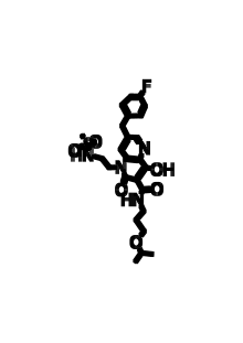 CC(C)OCCCNC(=O)c1c(O)c2ncc(Cc3ccc(F)cc3)cc2n(CCNS(C)(=O)=O)c1=O